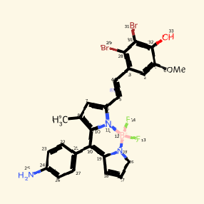 COc1cc(/C=C/c2cc(C)c3n2[B-](F)(F)N2CC=CC2=C3c2ccc(N)cc2)c(Br)c(Br)c1O